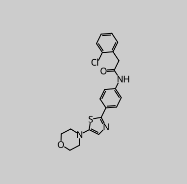 O=C(Cc1ccccc1Cl)Nc1ccc(-c2ncc(N3CCOCC3)s2)cc1